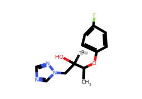 CC(Oc1ccc(F)cc1)C(O)(Cn1cncn1)C(C)(C)C